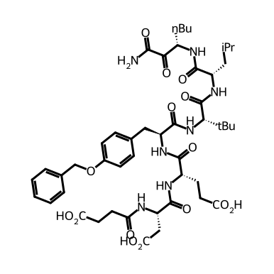 CCCC[C@H](NC(=O)[C@H](CC(C)C)NC(=O)[C@@H](NC(=O)[C@H](Cc1ccc(OCc2ccccc2)cc1)NC(=O)[C@H](CCC(=O)O)NC(=O)[C@H](CC(=O)O)NC(=O)CCC(=O)O)C(C)(C)C)C(=O)C(N)=O